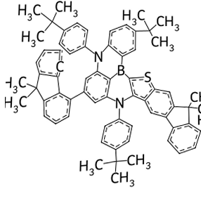 CC(C)(C)c1ccc(N2c3ccc(C(C)(C)C)cc3B3c4sc5cc6c(cc5c4N(c4ccc(C(C)(C)C)cc4)c4cc(-c5cccc7c5-c5ccccc5C7(C)C)cc2c43)-c2ccccc2C6(C)C)cc1